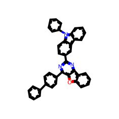 c1ccc(-c2ccc(-c3nc(-c4ccc5c(c4)c4ccccc4n5-c4ccccc4)nc4c3oc3ccccc34)cc2)cc1